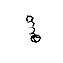 O=C(C[S+]([O-])Cc1ccccn1)C12CC3CC(CC(C3)C1)C2